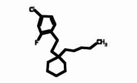 CCCCCC1(CCc2ccc(Cl)cc2F)CCCCC1